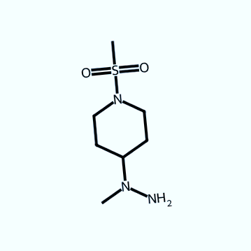 CN(N)C1CCN(S(C)(=O)=O)CC1